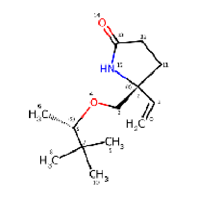 C=C[C@@]1(CO[C@@H](C)C(C)(C)C)CCC(=O)N1